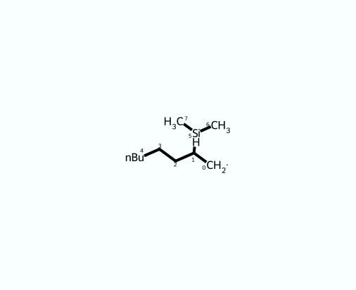 [CH2]C(CCCCCC)[SiH](C)C